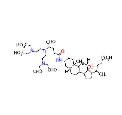 CC(CCC(=O)O)[C@H]1CCC2C3CC[C@@H]4C[C@H](NC(=O)CC[C@@H](C=O)N(CCN(CC=O)CC=O)CCN(CC(=O)O)CC(=O)O)CC[C@]4(C)C3C[C@@H]3O[C@@]231